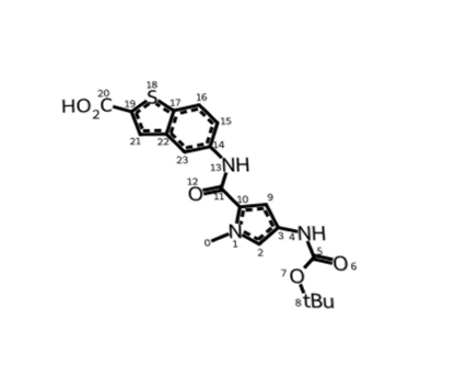 Cn1cc(NC(=O)OC(C)(C)C)cc1C(=O)Nc1ccc2sc(C(=O)O)cc2c1